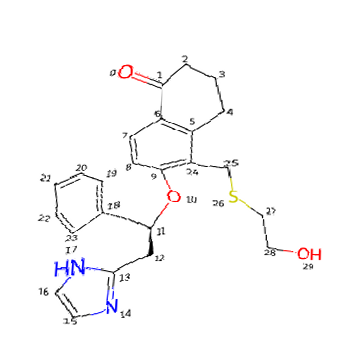 O=C1CCCc2c1ccc(O[C@@H](Cc1ncc[nH]1)c1ccccc1)c2CSCCO